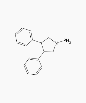 PN1CC(c2ccccc2)C(c2ccccc2)C1